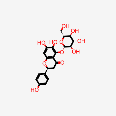 O=C1C[C@@H](c2ccc(O)cc2)Oc2cc(O)c(O)c(O[C@@H]3O[C@H](CO)[C@@H](O)[C@H](O)[C@H]3O)c21